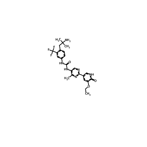 CCOc1cc(-c2ncc(NC(=O)Nc3ccc(CC(C)(C)N)c(C(F)(F)F)c3)c(C)n2)c[nH]c1=O